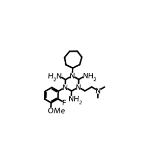 COc1cccc(N2C(N)N(CCN(C)C)C(N)N(C3CCCCCC3)C2N)c1F